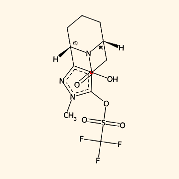 Cn1nc2c(c1OS(=O)(=O)C(F)(F)F)C[C@H]1CCC[C@@H]2N1C(=O)O